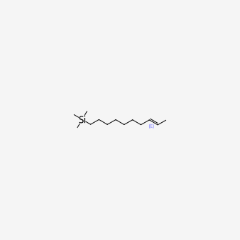 C/C=C/CCCCCCC[Si](C)(C)C